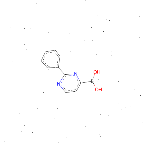 OB(O)c1ccnc(-c2ccccc2)n1